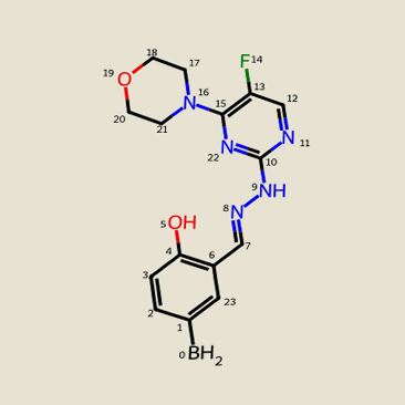 Bc1ccc(O)c(/C=N/Nc2ncc(F)c(N3CCOCC3)n2)c1